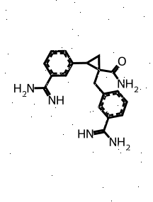 N=C(N)c1cccc(CC2(C(N)=O)CC2c2cccc(C(=N)N)c2)c1